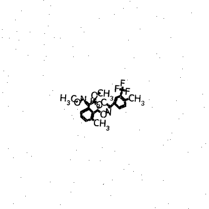 CO/N=C(/C(=O)OC)c1cccc(C)c1CO/N=C(\C)c1ccc(C)c(C(F)(F)F)c1